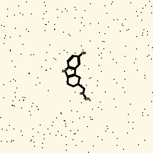 CNCC1CCc2[nH]c3ccc(O)cc3c2C1